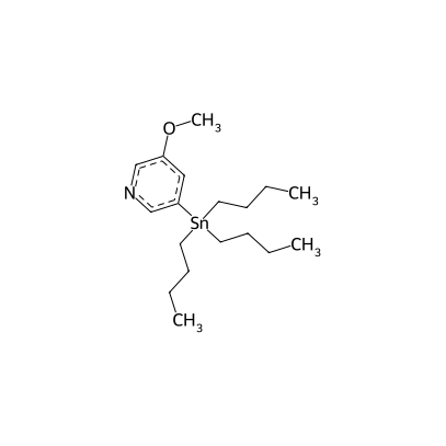 CCC[CH2][Sn]([CH2]CCC)([CH2]CCC)[c]1cncc(OC)c1